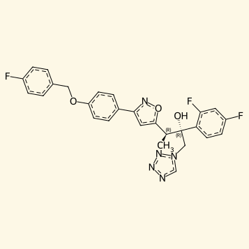 C[C@@H](c1cc(-c2ccc(OCc3ccc(F)cc3)cc2)no1)[C@](O)(Cn1cnnn1)c1ccc(F)cc1F